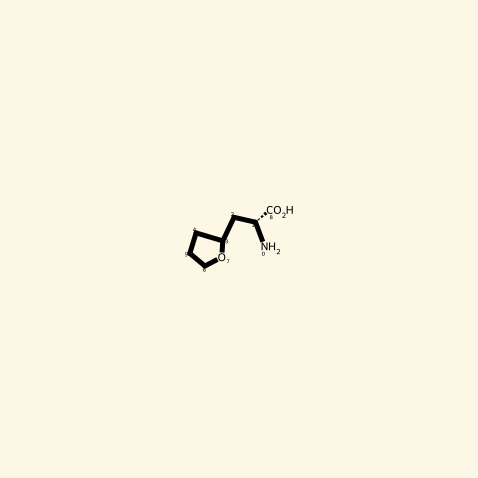 N[C@H](CC1CCCO1)C(=O)O